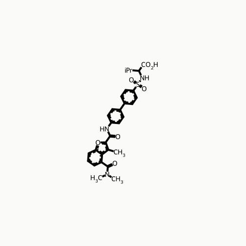 Cc1c(C(=O)Nc2ccc(-c3ccc(S(=O)(=O)NC(C(=O)O)C(C)C)cc3)cc2)oc2cccc(C(=O)N(C)C)c12